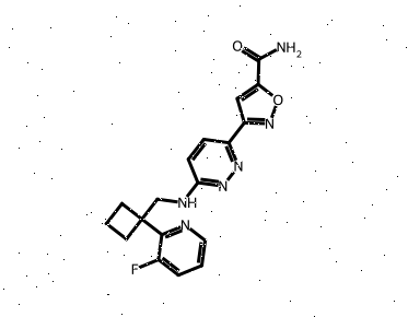 NC(=O)c1cc(-c2ccc(NCC3(c4ncccc4F)CCC3)nn2)no1